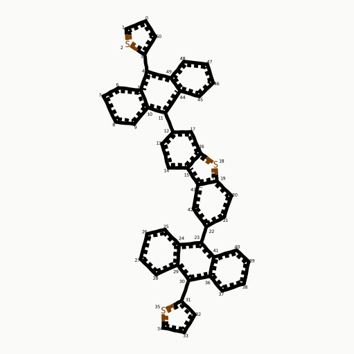 c1csc(-c2c3ccccc3c(-c3ccc4c(c3)sc3ccc(-c5c6ccccc6c(-c6cccs6)c6ccccc56)cc34)c3ccccc23)c1